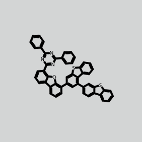 c1ccc(-c2nc(-c3ccccc3)nc(-c3cccc4c3oc3c(-c5cc(-c6ccc7c(c6)sc6ccccc67)c6c(c5)sc5ccccc56)cccc34)n2)cc1